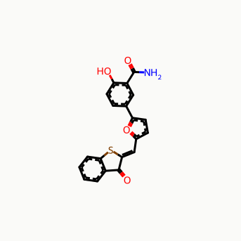 NC(=O)c1cc(-c2ccc(/C=C3\Sc4ccccc4C3=O)o2)ccc1O